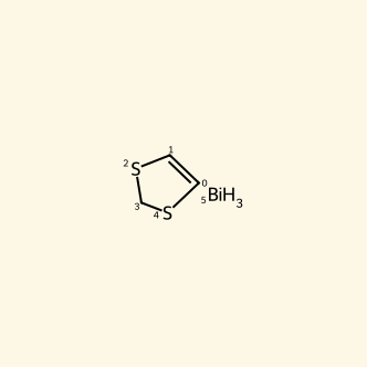 C1=CSCS1.[BiH3]